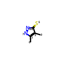 CC1=C(C)C(=S)N=N1